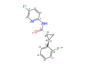 O=C(Nc1ccc(F)cn1)[C@@H]1C[C@H]1c1ccccc1F